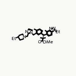 CCC1CCN(Cc2nccn2Cc2cc([C@@H](c3ccc4c(nnn4CC)c3C)C(C)(C)C(=O)OC)ccc2C)CC1